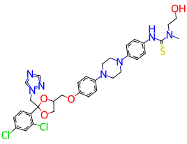 CN(CCO)C(=S)Nc1ccc(N2CCN(c3ccc(OCC4COC(Cn5cncn5)(c5ccc(Cl)cc5Cl)O4)cc3)CC2)cc1